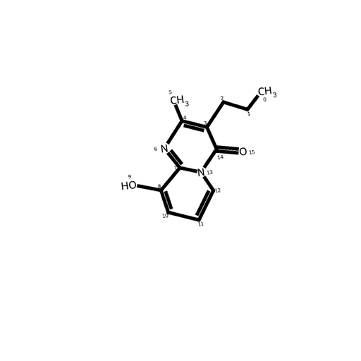 CCCc1c(C)nc2c(O)cccn2c1=O